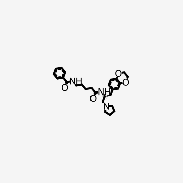 O=C(CCCCNC(=O)c1ccccc1)N[C@@H](Cc1ccc2c(c1)OCCO2)CN1CCCC1